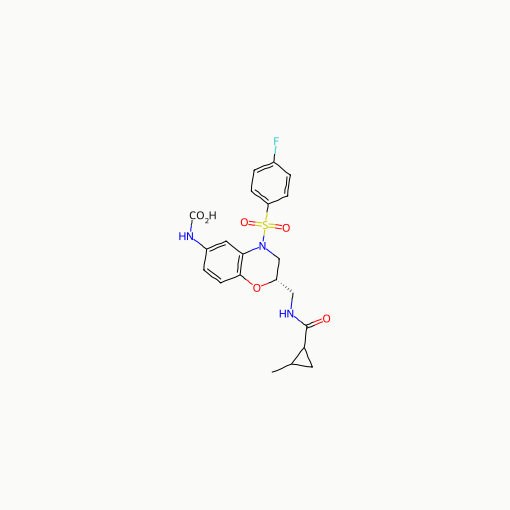 CC1CC1C(=O)NC[C@H]1CN(S(=O)(=O)c2ccc(F)cc2)c2cc(NC(=O)O)ccc2O1